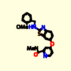 CNC(=O)c1cc(Oc2ccc3nc(NCc4ccccc4OC)sc3c2)ccn1